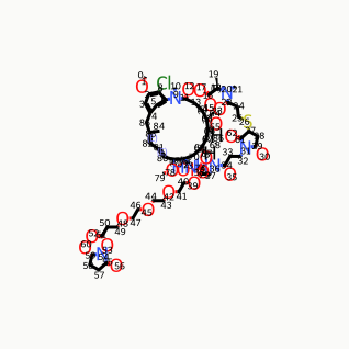 COc1cc2cc(c1Cl)N(C)C(=O)C[C@H](OC(=O)[C@@H](C)N(C)C(=O)CCSC1CC(=O)N(CCC(=O)NCCOCCOCCOCCOCCC(=O)ON3C(=O)CCC3=O)C1=O)[C@]1(C)O[C@H]1[C@H](C)[C@@H]1C[C@@](O)(NC(=O)O1)[C@H](OC)/C=C/C=C(\C)C2